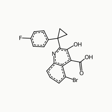 O=C(O)c1c(O)c(C2(c3ccc(F)cc3)CC2)nc2cccc(Br)c12